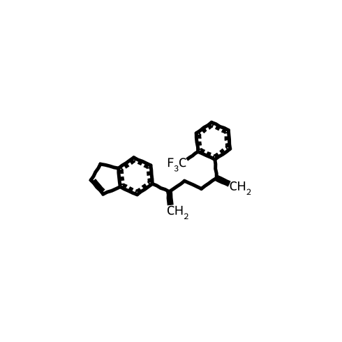 C=C(CCC(=C)c1ccccc1C(F)(F)F)c1ccc2c(c1)C=CC2